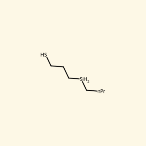 CCCC[SiH2]CCCS